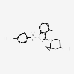 Cc1ccc(S(=O)(=O)n2nc(N3CCC(O)CC34CC4)c3c(Cl)cccc32)cc1